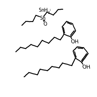 CCCCCCCCCc1ccccc1O.CCCCCCCCCc1ccccc1O.CCC[CH2][Sn](=[O])[CH2]CCC.[SnH2]